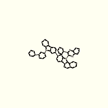 c1ccc(-c2cccc(-n3c4ccccc4c4ccc(-c5ccc6c7ccc8ccccc8c7n(-c7nc8ccccc8nc7-c7ccccc7)c6c5)cc43)c2)cc1